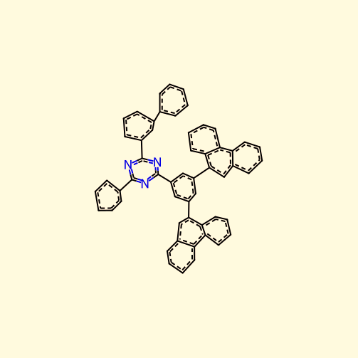 c1ccc(-c2cccc(-c3nc(-c4ccccc4)nc(-c4cc(-c5cc6ccccc6c6ccccc56)cc(-c5cc6ccccc6c6ccccc56)c4)n3)c2)cc1